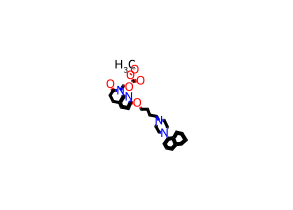 COOC(=O)OCN1C(=O)CCc2ccc(OCCCCN3CCN(c4cccc5ccccc45)CC3)nc21